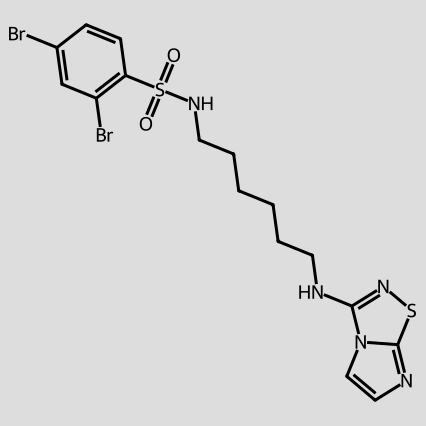 O=S(=O)(NCCCCCCNc1nsc2nccn12)c1ccc(Br)cc1Br